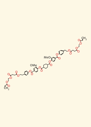 C=CC(=O)OCCOC(=O)CCC(=O)OCCc1ccc(OC(=O)c2ccc(OC(=O)C3CCC(C(=O)Oc4ccc(C(=O)Oc5ccc(CCOC(=O)CCC(=O)OCCOC(=O)C=C)cc5)cc4OC)CC3)c(OC)c2)cc1